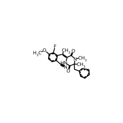 COc1ccc(C#N)c(C(C)=C2NC(=O)C(C)(Cc3ccccc3)N(C)C2=O)c1F